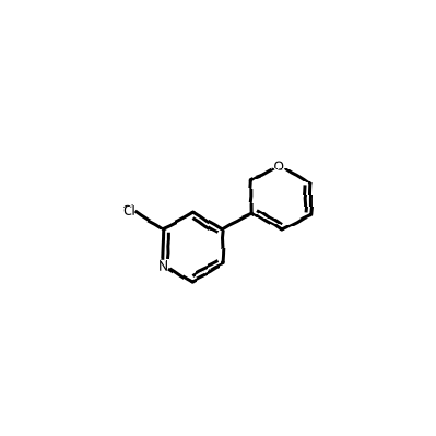 Clc1cc(C2=CC=COC2)ccn1